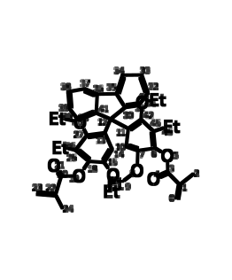 C=C(C)C(=O)Oc1c(OCC)cc(C2(c3cc(OCC)c(OC(=O)C(=C)C)c(CC)c3OCC)c3ccccc3-c3ccccc32)c(OCC)c1CC